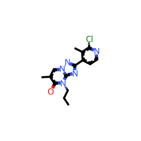 CCCn1c(=O)c(C)cn2nc(-c3ccnc(Cl)c3C)nc12